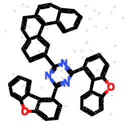 c1ccc2c(c1)ccc1ccc3ccc(-c4nc(-c5cccc6oc7ccccc7c56)nc(-c5cccc6oc7ccccc7c56)n4)cc3c12